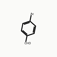 CC(=O)c1ccc(C=O)cc1